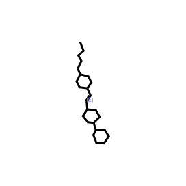 CCCCCC1CCC(/C=C/C2CCC(C3CCCCC3)CC2)CC1